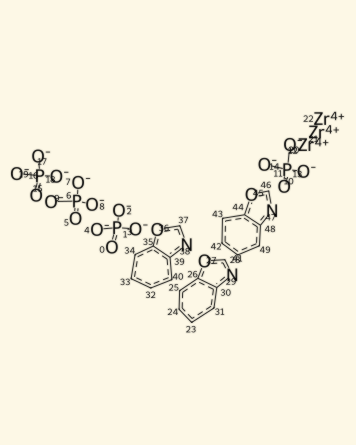 O=P([O-])([O-])[O-].O=P([O-])([O-])[O-].O=P([O-])([O-])[O-].O=P([O-])([O-])[O-].[Zr+4].[Zr+4].[Zr+4].c1ccc2ocnc2c1.c1ccc2ocnc2c1.c1ccc2ocnc2c1